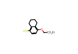 CCOC(=O)COc1ccc(S)c2c1CCCC2